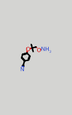 CC(C)(CON)Oc1ccc(C#N)cc1